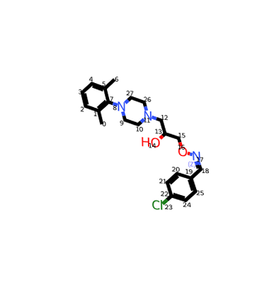 Cc1cccc(C)c1N1CCN(CC(O)CO/N=C\c2ccc(Cl)cc2)CC1